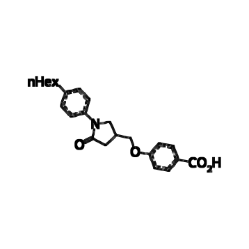 CCCCCCc1ccc(N2CC(COc3ccc(C(=O)O)cc3)CC2=O)cc1